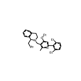 CCOc1cc(-c2c(CC)cccc2CC)nc(C)c1CN1CCc2ccccc2C1CC(C)C